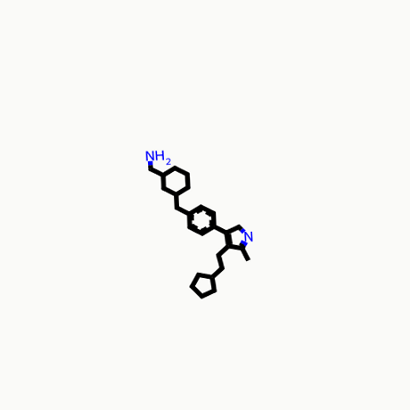 CC1=NCC(c2ccc(CC3CCCC(CN)C3)cc2)=C1CCC1CCCC1